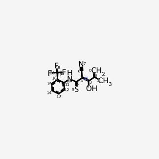 C=C(C)/C(O)=C(\C#N)C(=S)Nc1ccccc1C(F)(F)F